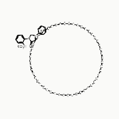 O=C(O)c1ccccc1N1CN(c2ccccc2)C2(CCCCCCCCCCCCCCCCCCCCCCCCCCCCCCCCCCCCCCCCCCCCCCCCNCC2)C1=O